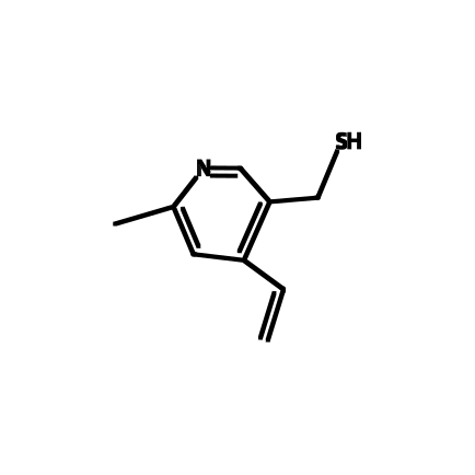 C=Cc1cc(C)ncc1CS